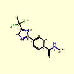 C=C(NC(C)C)c1ccc(C2=NCC(C(C)(F)F)=N2)cc1